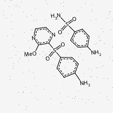 COc1nccnc1S(=O)(=O)c1ccc(N)cc1.Nc1ccc(S(N)(=O)=O)cc1